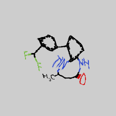 C[C@@H]1CC(=O)Nc2cccc(-c3cccc(C(F)F)c3)c2N1